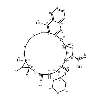 CC1[C@H]2CCCCCc3c(nc4ccccc4c3O)O[C@@H]3C[C@@H](C(=O)O)N(C3)C(=O)[C@H](C3(C)CCCCC3)NC(=O)O[C@H]12